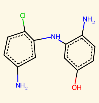 Nc1ccc(Cl)c(Nc2cc(O)ccc2N)c1